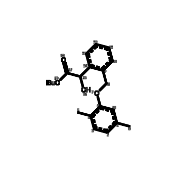 Cc1ccc(C)c(OCc2ccccc2C(O)C(=O)OCC(C)C)c1